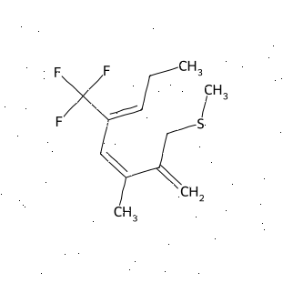 C=C(CSC)/C(C)=C\C(=CCC)C(F)(F)F